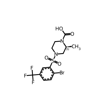 C[C@H]1CN(S(=O)(=O)c2cc(C(F)(F)F)ccc2Br)CCN1C(=O)O